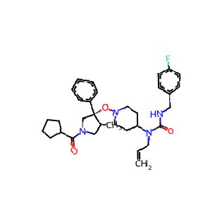 C=CCN(C(=O)NCc1ccc(F)cc1)C1CCN(O[C@]2(c3ccccc3)CN(C(=O)C3CCCC3)C[C@@H]2C)CC1